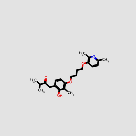 Cc1ccc(OCCCCOc2ccc(CC(=O)C(C)C)c(O)c2C)c(C)n1